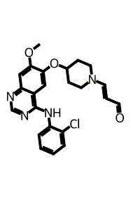 COc1cc2ncnc(Nc3ccccc3Cl)c2cc1OC1CCN(C=CC=O)CC1